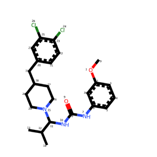 COc1cccc(NC(=O)NC(C(C)C)N2CCC(Cc3ccc(Cl)c(Cl)c3)CC2)c1